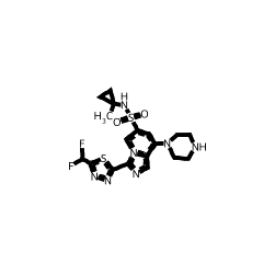 CC1(NS(=O)(=O)c2cc(N3CCNCC3)c3cnc(-c4nnc(C(F)F)s4)n3c2)CC1